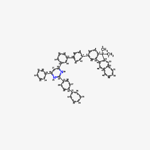 CC1(C)c2ccc(-c3ccc(-c4cccc(-c5cc(-c6ccccc6)nc(-c6ccc(-c7ccccc7)cc6)n5)c4)cc3)cc2-c2cc3ccccc3cc21